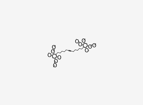 COCOc1cc(OC)c(OCOC)c(CCCCCC#CCCCCCc2c(OC)c(OCOC)cc(OC)c2OCOC)c1OC